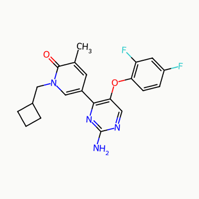 Cc1cc(-c2nc(N)ncc2Oc2ccc(F)cc2F)cn(CC2CCC2)c1=O